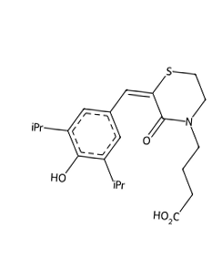 CC(C)c1cc(/C=C2/SCCN(CCCC(=O)O)C2=O)cc(C(C)C)c1O